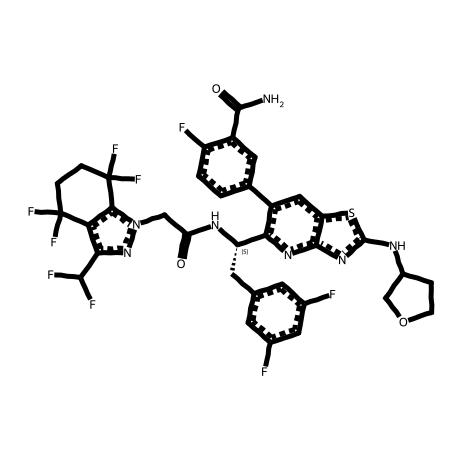 NC(=O)c1cc(-c2cc3sc(NC4CCOC4)nc3nc2[C@H](Cc2cc(F)cc(F)c2)NC(=O)Cn2nc(C(F)F)c3c2C(F)(F)CCC3(F)F)ccc1F